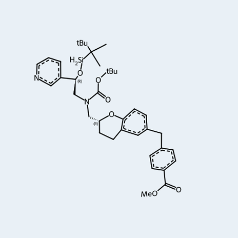 COC(=O)c1ccc(Cc2ccc3c(c2)CC[C@H](CN(C[C@H](O[SiH2]C(C)(C)C(C)(C)C)c2cccnc2)C(=O)OC(C)(C)C)O3)cc1